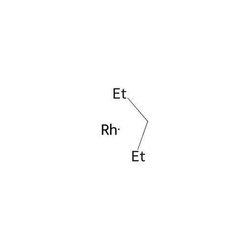 CCCCC.[Rh]